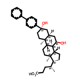 C[C@H](CCC(=O)O)[C@H]1CC[C@H]2[C@@H]3[C@H](O)C[C@@H]4C[C@](O)(c5ccc(-c6ccccc6)cc5)CC[C@]4(C)[C@H]3CC[C@]12C